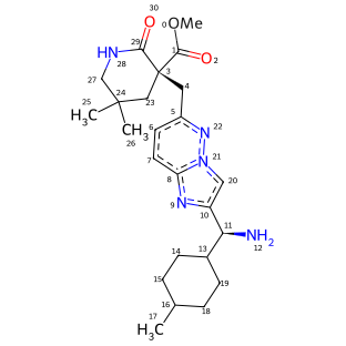 COC(=O)[C@]1(Cc2ccc3nc([C@@H](N)C4CCC(C)CC4)cn3n2)CC(C)(C)CNC1=O